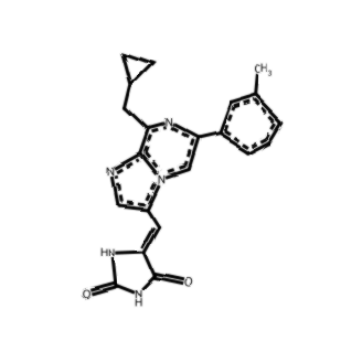 Cc1cccc(-c2cn3c(/C=C4\NC(=O)NC4=O)cnc3c(CC3CC3)n2)c1